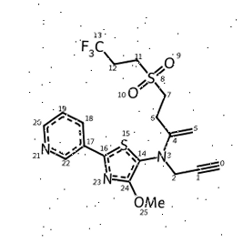 C#CCN(C(=C)CCS(=O)(=O)CCC(F)(F)F)c1sc(-c2cccnc2)nc1OC